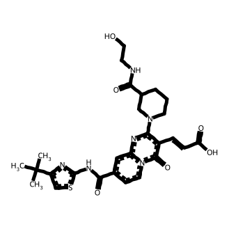 CC(C)(C)c1csc(NC(=O)c2ccn3c(=O)c(C=CC(=O)O)c(N4CCCC(C(=O)NCCO)C4)nc3c2)n1